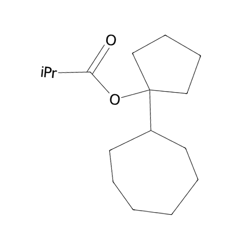 CC(C)C(=O)OC1(C2CCCCCC2)CCCC1